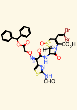 O=CNc1nc(/C(=N/OCC(=O)OC(c2ccccc2)c2ccccc2)C(=O)NC2C(=O)N3C(C(=O)O)=C(C=C(Br)Br)C[S+]([O-])[C@@H]23)cs1